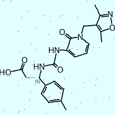 Cc1ccc([C@H](CC(=O)O)NC(=O)Nc2cccn(Cc3c(C)noc3C)c2=O)cc1